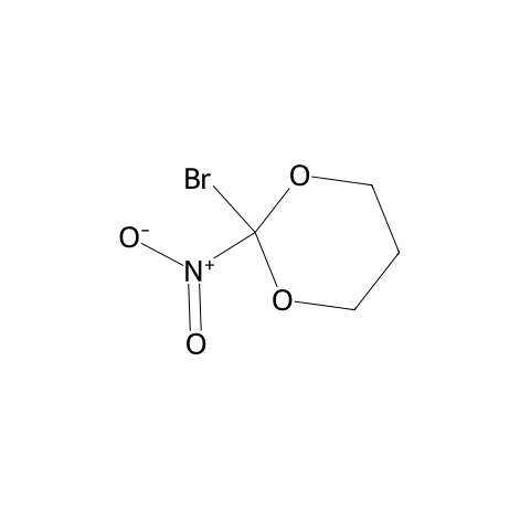 O=[N+]([O-])C1(Br)OCCCO1